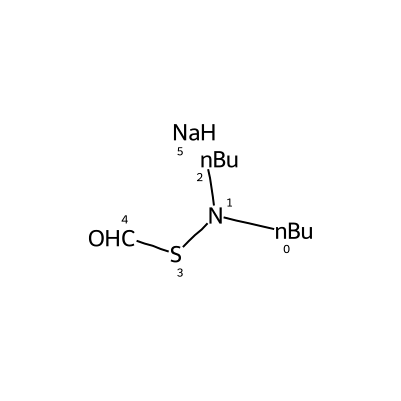 CCCCN(CCCC)SC=O.[NaH]